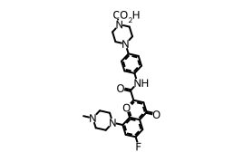 CN1CCN(c2cc(F)cc3c(=O)cc(C(=O)Nc4ccc(N5CCN(C(=O)O)CC5)cc4)oc23)CC1